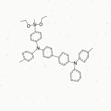 CCO[Si](C)(OCC)c1ccc(N(c2ccc(C)cc2)c2ccc(-c3ccc(N(c4ccccc4)c4ccc(C)cc4)cc3)cc2)cc1